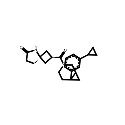 O=C1CC[C@]2(C[C@H](C(=O)N3CCC4(c5cccc(C6CC6)c5)CC4C3)C2)N1